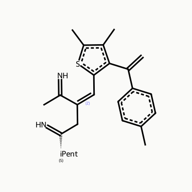 C=C(c1ccc(C)cc1)c1c(/C=C(/CC(=N)[C@@H](C)CCC)C(C)=N)sc(C)c1C